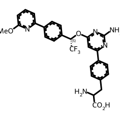 COc1cccc(-c2ccc([C@H](Oc3cc(-c4ccc(CC(N)C(=O)O)cc4)nc(N)n3)C(F)(F)F)cc2)n1